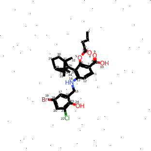 CCCC(=O)Oc1c(C(=O)O)ccc(NCc2cc(Br)cc(Cl)c2O)c1C1CC2CCC1(C)C2(C)C